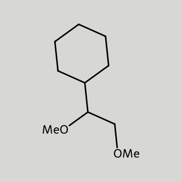 COCC(OC)C1CCCCC1